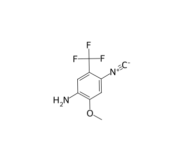 [C-]#[N+]c1cc(OC)c(N)cc1C(F)(F)F